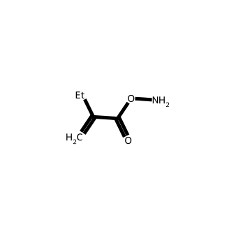 C=C(CC)C(=O)ON